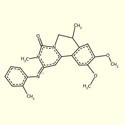 COc1cc2c(cc1OC)C(C)Cn1c-2c/c(=N/c2ccccc2C)n(C)c1=O